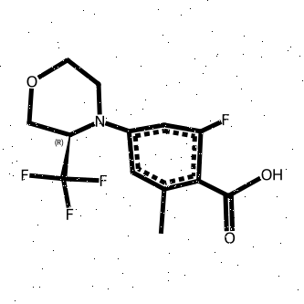 Cc1cc(N2CCOC[C@@H]2C(F)(F)F)cc(F)c1C(=O)O